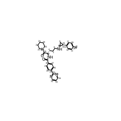 O=C(N[C@@H](CCCN[C@@H]1C[C@H]1c1ccc(F)cc1)C(=O)N1CCCCC1)c1ccc(-c2ncccn2)cc1